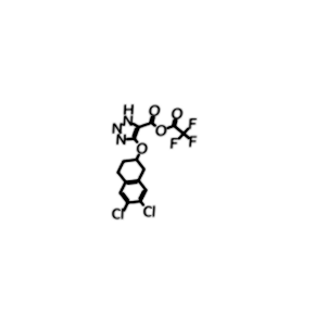 O=C(OC(=O)C(F)(F)F)c1[nH]nnc1OC1CCc2cc(Cl)c(Cl)cc2C1